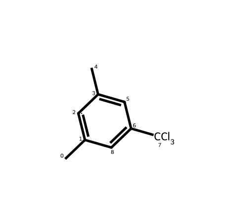 Cc1[c]c(C)cc(C(Cl)(Cl)Cl)c1